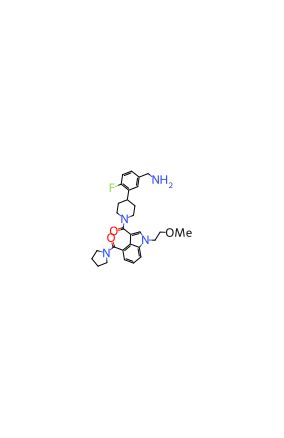 COCCn1cc(C(=O)N2CCC(c3cc(CN)ccc3F)CC2)c2c(C(=O)N3CCCC3)cccc21